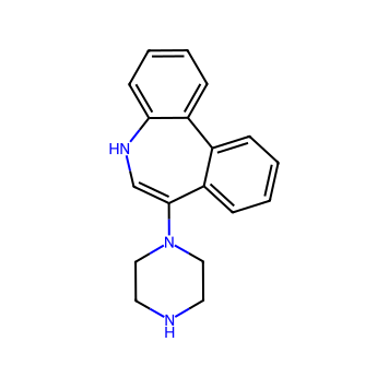 C1=C(N2CCNCC2)c2ccccc2-c2ccccc2N1